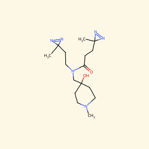 CN1CCC(O)(CN(CCC2(C)N=N2)C(=O)CCC2(C)N=N2)CC1